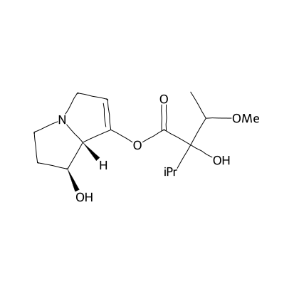 COC(C)C(O)(C(=O)OC1=CCN2CC[C@H](O)[C@@H]12)C(C)C